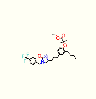 CCCCc1cc(CCCC2CN(Cc3ccc(C(F)(F)F)cc3)C(=O)N2C)ccc1OC(C)(C)C(=O)OCC